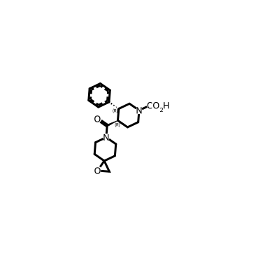 O=C(O)N1CC[C@@H](C(=O)N2CCC3(CC2)CO3)[C@H](c2ccccc2)C1